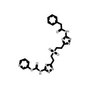 O=C(Cc1ccccc1)Nc1nnc(CCS(=O)(=O)CCc2nnc(NC(=O)Oc3cccnc3)s2)s1